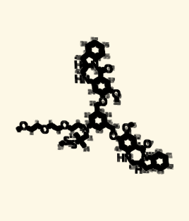 COCCOCCOCCN(CC(C)(C)SSC)c1cc(COc2cc3c(cc2OC)C(=O)N2c4ccccc4C[C@H]2CN3)cc(COc2cc3c(cc2OC)C(=O)N2c4ccccc4C[C@H]2CN3)c1